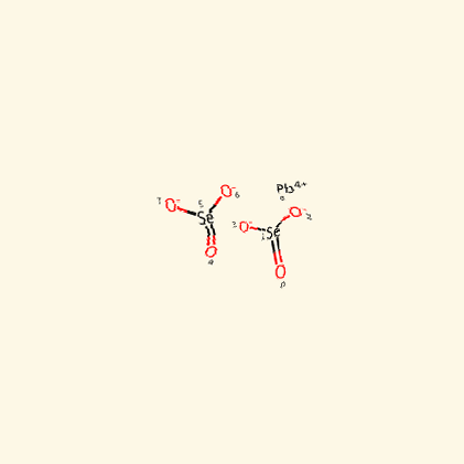 O=[Se]([O-])[O-].O=[Se]([O-])[O-].[Pb+4]